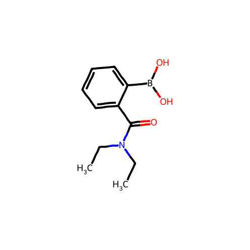 CCN(CC)C(=O)c1ccccc1B(O)O